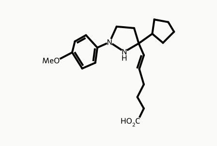 COc1ccc(N2CCC(/C=C/CCCC(=O)O)(C3CCCC3)N2)cc1